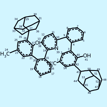 Cc1cc(-c2ccccc2-c2cccc(-c3ccccc3-c3cc(C)cc(C45CC6CC(CC(C6)C4)C5)c3O)n2)c(O)c(C2CC3CC4CCC2C(C4)C3)c1